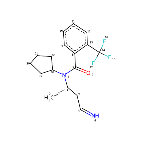 C[C@@H](CC=N)N(C(=O)c1ccccc1C(F)(F)F)C1CCCC1